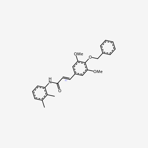 COc1cc(/C=C/C(=O)Nc2cccc(C)c2C)cc(OC)c1OCc1ccccc1